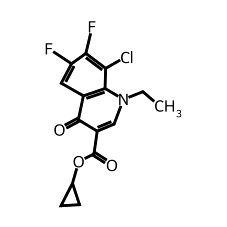 CCn1cc(C(=O)OC2CC2)c(=O)c2cc(F)c(F)c(Cl)c21